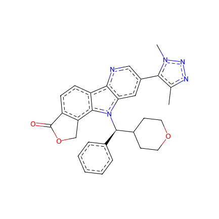 Cc1nnn(C)c1-c1cnc2c3ccc4c(c3n([C@H](c3ccccc3)C3CCOCC3)c2c1)COC4=O